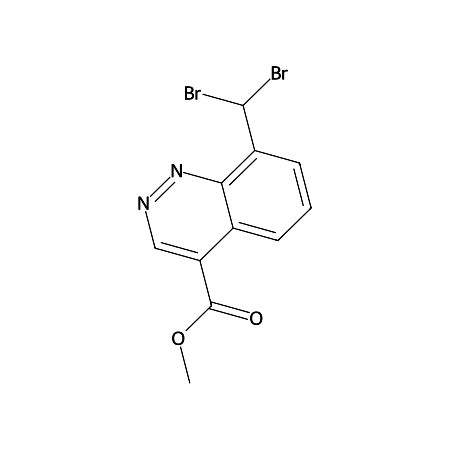 COC(=O)c1cnnc2c(C(Br)Br)cccc12